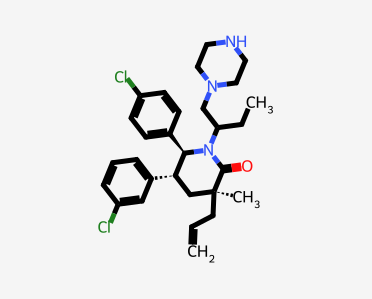 C=CC[C@@]1(C)C[C@H](c2cccc(Cl)c2)[C@@H](c2ccc(Cl)cc2)N(C(CC)CN2CCNCC2)C1=O